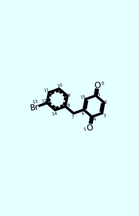 O=C1C=CC(=O)C(Cc2cccc(Br)c2)=C1